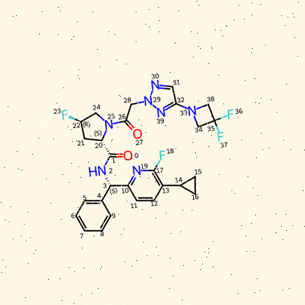 O=C(N[C@@H](c1ccccc1)c1ccc(C2CC2)c(F)n1)[C@@H]1C[C@@H](F)CN1C(=O)Cn1ncc(N2CC(F)(F)C2)n1